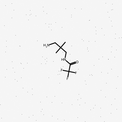 CC(C)(CN)CNC(=O)C(F)(F)F